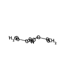 C=CC(=O)OCCCCCCCCCCCOc1ccc(C#CCOc2ccc(OC(=O)C3CCCC(OCCCCCCCCCCCOC(=O)C=C)CCC3)c3ncccc23)cc1